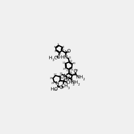 COc1ccccc1C(=O)NCc1ccc(-c2c(C(N)=O)c(N)nn2C[C@H]2CCCN(C(=O)O)C2C(C)(C)C)cc1